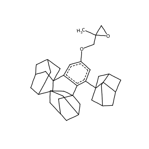 CC1(COc2cc(C34CC5CC(CC(C5)C3)C4)c(C34CC5CC(CC(C5)C3)C4)c(C34CC5CC(CC(C5)C3)C4)c2)CO1